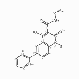 CC(=O)CNC(=O)c1c(O)c2cc(-c3ncccn3)ccc2n(C)c1=O